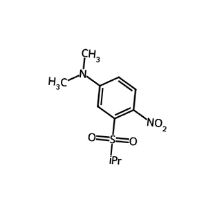 CC(C)S(=O)(=O)c1cc(N(C)C)ccc1[N+](=O)[O-]